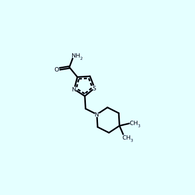 CC1(C)CCN(Cc2nc(C(N)=O)cs2)CC1